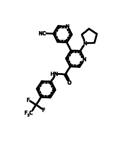 N#Cc1cncc(-c2cc(C(=O)Nc3ccc(C(F)(F)C(F)(F)F)cc3)cnc2N2CCCC2)c1